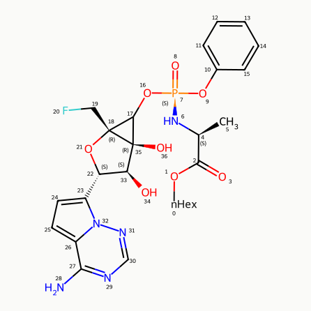 CCCCCCOC(=O)[C@H](C)N[P@@](=O)(Oc1ccccc1)OC1[C@@]2(CF)O[C@@H](c3ccc4c(N)ncnn34)[C@H](O)[C@@]12O